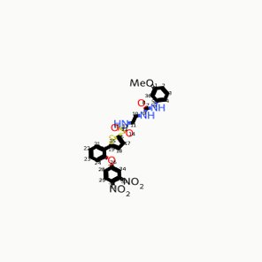 COc1cccc(NC(=O)NCCNS(=O)(=O)c2ccc(-c3ccccc3Oc3ccc([N+](=O)[O-])c([N+](=O)[O-])c3)s2)c1